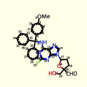 COc1ccc(C(Nc2nc(F)nc3c2ncn3C2CCC(C=O)(CO)O2)(c2ccccc2)c2ccccc2)cc1